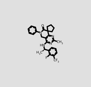 Cc1nc(N[C@H](C)c2cccc(C(F)(F)F)c2F)c2c(n1)C1(CCCC1)C(=O)N(c1ccccc1)C2